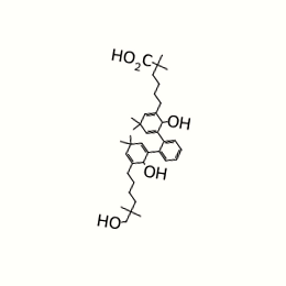 CC1(C)C=C(CCCCC(C)(C)CO)C(O)C(c2ccccc2C2=CC(C)(C)C=C(CCCCC(C)(C)C(=O)O)C2O)=C1